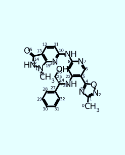 Cc1noc(-c2cnc(Nc3ccc4c(=O)[nH]n(C)c4n3)cc2N[C@H](CO)c2ccccc2)n1